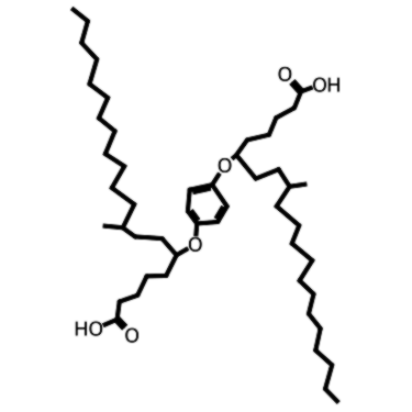 CCCCCCCCCCCCC(C)CCC(CCCCC(=O)O)Oc1ccc(OC(CCCCC(=O)O)CCC(C)CCCCCCCCCCCC)cc1